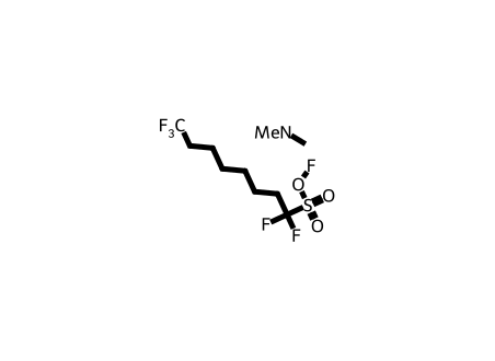 CNC.O=S(=O)(OF)C(F)(F)CCCCCCC(F)(F)F